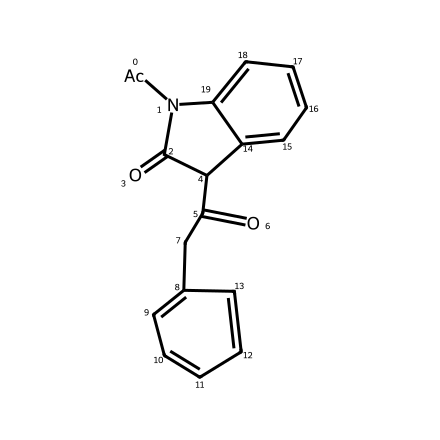 CC(=O)N1C(=O)C(C(=O)Cc2ccccc2)c2ccccc21